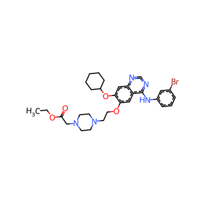 CCOC(=O)CN1CCN(CCOc2cc3c(Nc4cccc(Br)c4)ncnc3cc2OC2CCCCC2)CC1